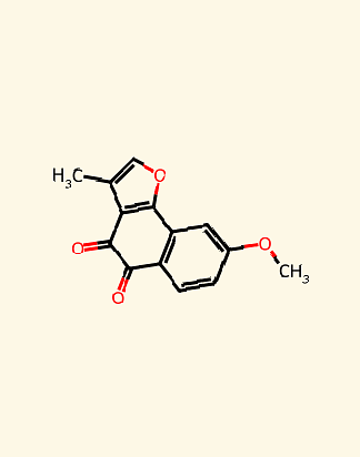 COc1ccc2c(c1)-c1occ(C)c1C(=O)C2=O